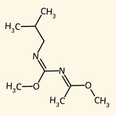 CO/C(C)=N/C(=N\CC(C)C)OC